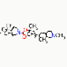 CCC(C)(C)C1=CCN(C(=O)OC(C)(C)CCC(C)CC2=CCN(C)CC2)CC1